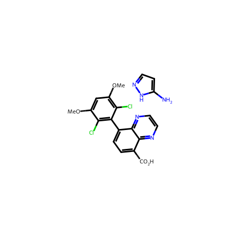 COc1cc(OC)c(Cl)c(-c2ccc(C(=O)O)c3nccnc23)c1Cl.Nc1ccn[nH]1